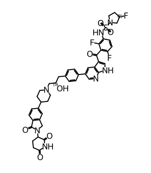 O=C1CCC(N2Cc3cc(C4CCN(C[C@@H](O)Cc5ccc(-c6cnc7[nH]cc(C(=O)c8c(F)ccc(NS(=O)(=O)N9CC[C@@H](F)C9)c8F)c7c6)cc5)CC4)ccc3C2=O)C(=O)N1